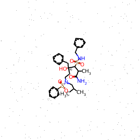 CC(C)CN(CC[C@](O)(Cc1ccccc1)C(C(C)C(N)=O)S(=O)(=O)NCc1ccccc1)S(=O)(=O)c1ccccc1